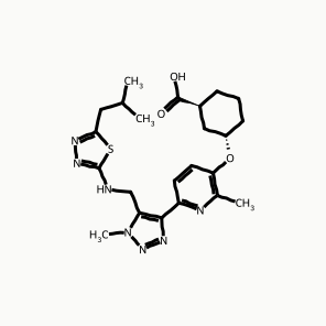 Cc1nc(-c2nnn(C)c2CNc2nnc(CC(C)C)s2)ccc1O[C@H]1CCC[C@H](C(=O)O)C1